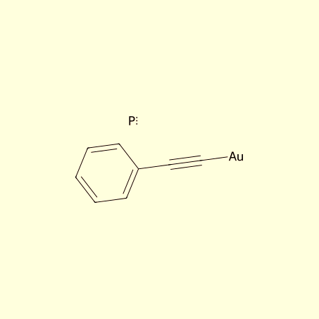 [Au][C]#Cc1ccccc1.[P]